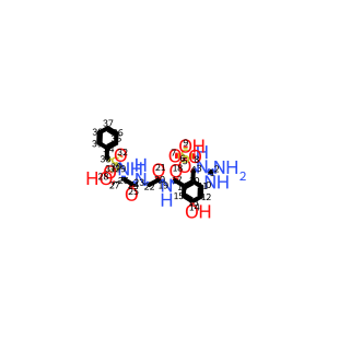 N=C(N)NC(OS(=O)(=O)O)c1ccc(O)cc1C(=O)NC(=O)CNC(=O)[C@H](CO)NS(=O)(=O)Cc1ccccc1